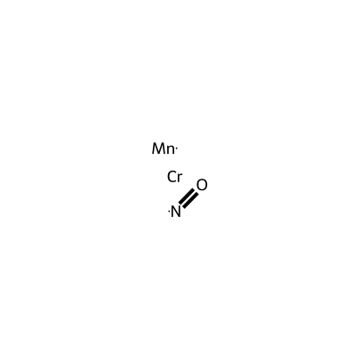 [Cr].[Mn].[N]=O